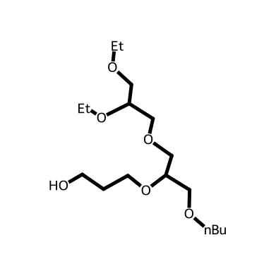 CCCCOCC(COCC(COCC)OCC)OCCCO